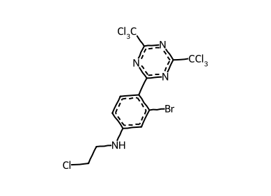 ClCCNc1ccc(-c2nc(C(Cl)(Cl)Cl)nc(C(Cl)(Cl)Cl)n2)c(Br)c1